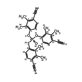 Cc1c(C#N)ccc(OP(=O)(Oc2ccc(C#N)c(C)c2C)Sc2ccc(C#N)c(C)c2C)c1C